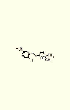 CC1(C)OCC(CCc2cc(N)ccc2Cl)O1